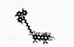 Cc1cccc([PH](CCCCCCCCCCC(=O)Nc2cc(N(C)C)c3c(c2O)C(=O)C2=C(O)[C@]4(O)C(=O)C(C(N)=O)=C(O)[C@@H](N(C)C)[C@@H]4C[C@@H]2C3)(c2cccc(C)c2)c2cccc(C)c2)c1